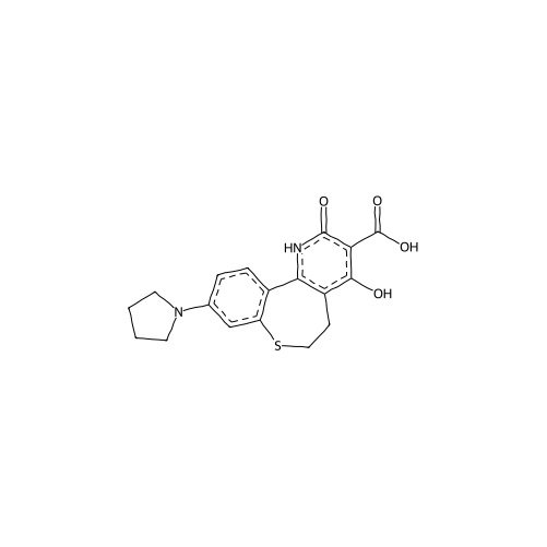 O=C(O)c1c(O)c2c([nH]c1=O)-c1ccc(N3CCCC3)cc1SCC2